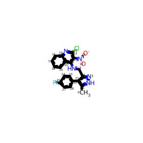 Cc1[nH]nc(CNc2c([N+](=O)[O-])c(Cl)nc3ccccc23)c1-c1ccc(F)cc1